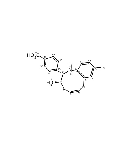 C[C@@H]1C/C=C\Cc2cc(I)ccc2N[C@H]1c1ccc(C(=O)O)cc1